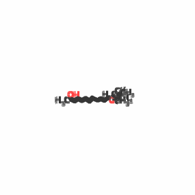 CC(O)CCCCCCCCCCO[Si](C)(C)C(C)(C)C